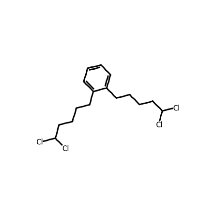 ClC(Cl)CCCCc1ccccc1CCCCC(Cl)Cl